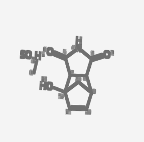 CS(=O)(=O)O.O=C1NC(=O)C2C1C1C=CC2(O)C1